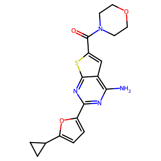 Nc1nc(-c2ccc(C3CC3)o2)nc2sc(C(=O)N3CCOCC3)cc12